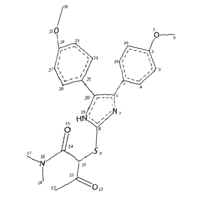 COc1ccc(-c2nc(SC(C(C)=O)C(=O)N(C)C)[nH]c2-c2ccc(OC)cc2)cc1